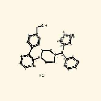 Cl.OCc1ccc(-c2nccnc2N2CCN(C(c3ccccc3)c3cn[nH]c3)CC2)cc1